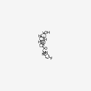 C[C@@]1(O)CC[C@@]2(C)[C@H](CC[C@@H]3[C@@H]2CC[C@]2(C)[C@@H](C(=O)Cn4nc5ccc(F)cc5n4)CC[C@@H]32)C1